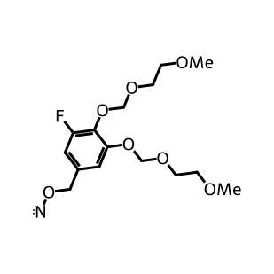 COCCOCOc1cc(CO[N])cc(F)c1OCOCCOC